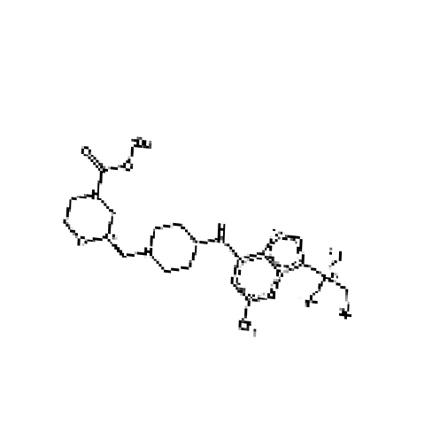 [2H]C[C@@]([2H])(C)c1cnc2c(NC3CCN(C[C@@H]4CN(C(=O)OC(C)(C)C)CCO4)CC3)cc(C(F)(F)F)cn12